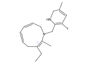 CC/C1=C(\C)N(CC2=C(I)C=C(C)CN2)CC=CC=CC1